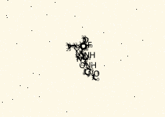 CCC(=O)N1CCC[C@@H](NC(=O)c2c[nH]c3c(-c4cc(F)c(OC)cc4OCC4CC4)ncnc23)C1